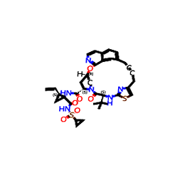 C=C[C@@H]1C[C@]1(NC(=O)[C@@H]1C[C@@H]2CN1C(=O)[C@H](C(C)(C)C)Nc1nc(cs1)CCCCc1ccc3ccnc(c3c1)O2)C(=O)NS(=O)(=O)C1CC1